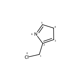 ClCC1=CCC=N1